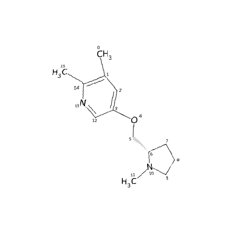 Cc1cc(OC[C@@H]2CCCN2C)cnc1C